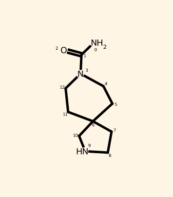 NC(=O)N1CCC2(CCNC2)CC1